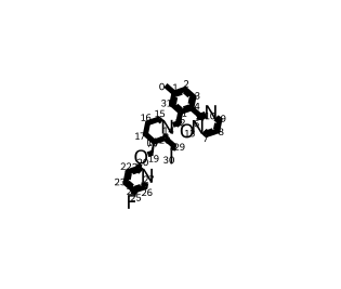 Cc1ccc(-c2ncccn2)c(C(=O)N2CCC[C@H](COc3ccc(F)cn3)C2CI)c1